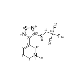 CN1CCC=C(c2nsnc2SCC(F)(F)F)C1